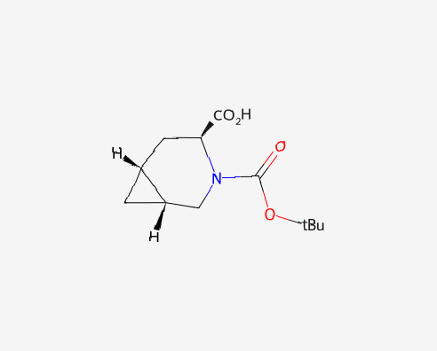 CC(C)(C)OC(=O)N1C[C@@H]2C[C@@H]2C[C@H]1C(=O)O